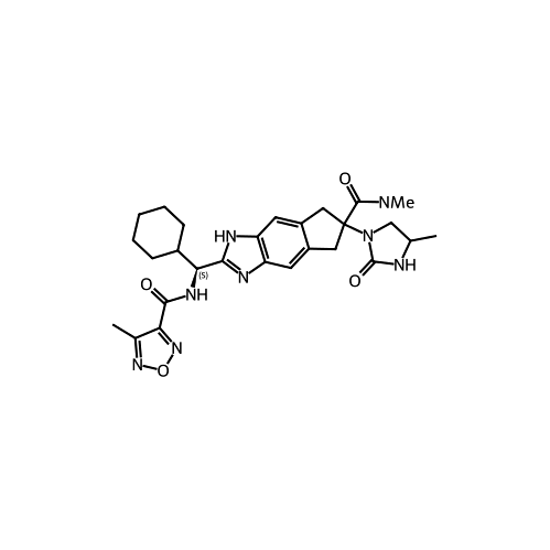 CNC(=O)C1(N2CC(C)NC2=O)Cc2cc3nc([C@@H](NC(=O)c4nonc4C)C4CCCCC4)[nH]c3cc2C1